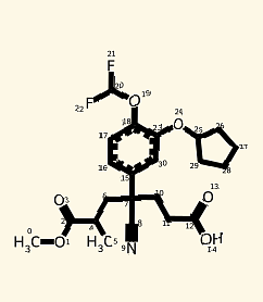 COC(=O)C(C)CC(C#N)(CCC(=O)O)c1ccc(OC(F)F)c(OC2CCCC2)c1